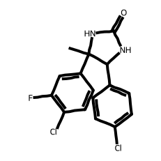 CC1(c2ccc(Cl)c(F)c2)NC(=O)NC1c1ccc(Cl)cc1